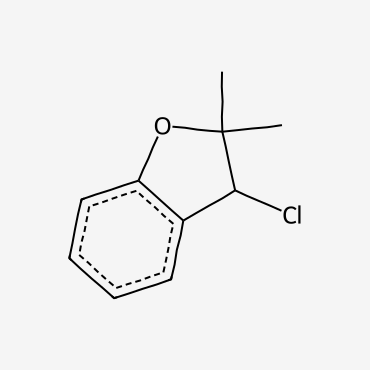 CC1(C)Oc2ccccc2C1Cl